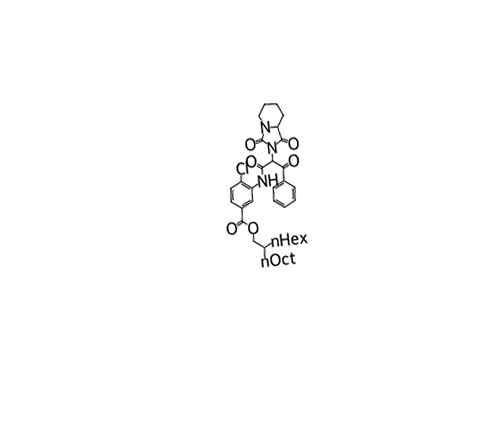 CCCCCCCCC(CCCCCC)COC(=O)c1ccc(Cl)c(NC(=O)C(C(=O)c2ccccc2)N2C(=O)C3CCCCN3C2=O)c1